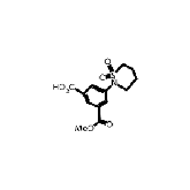 COC(=O)c1cc(C(=O)O)cc(N2CCCCS2(=O)=O)c1